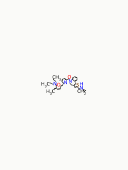 C=C(NC1CC1)c1cc2c(s1)-c1ccccc1N(C(=O)c1cccc(/C=C/C=C\C(=C/C)C(=O)N(CCC)CCC)n1)CC2